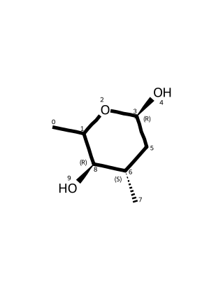 CC1O[C@@H](O)C[C@H](C)[C@H]1O